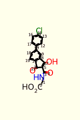 O=C(O)CNC(=O)C1=C(O)c2cc(-c3ccc(Cl)cc3)ccc2C1=O